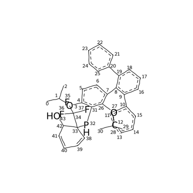 CC(C)Oc1ccc(-c2c(-c3ccccc3)cccc2-c2ccccc2)c(OC(C)C)c1PC1(C(F)(F)F)C=CC=CC1O